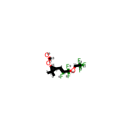 CC1(C)C(C=C(F)C(F)(F)OCC(F)(F)F)C1OC=O